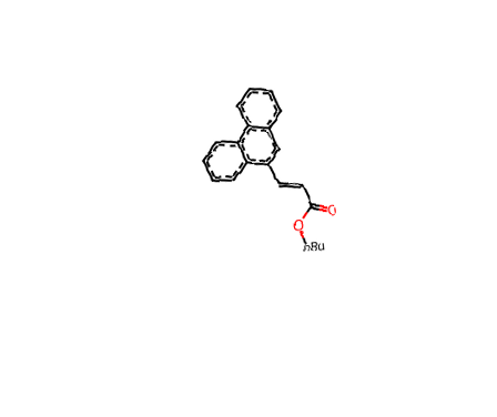 CCCCOC(=O)C=Cc1cc2ccccc2c2ccccc12